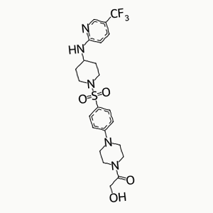 O=C(CO)N1CCN(c2ccc(S(=O)(=O)N3CCC(Nc4ccc(C(F)(F)F)cn4)CC3)cc2)CC1